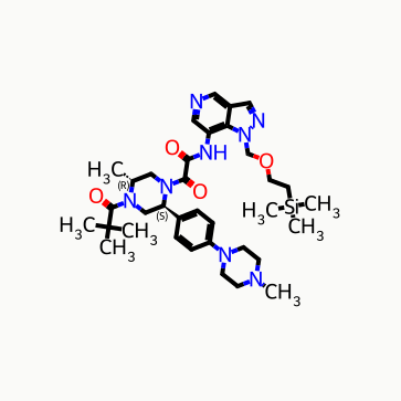 C[C@@H]1CN(C(=O)C(=O)Nc2cncc3cnn(COCC[Si](C)(C)C)c23)[C@@H](c2ccc(N3CCN(C)CC3)cc2)CN1C(=O)C(C)(C)C